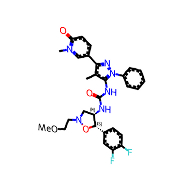 COCCN1C[C@@H](NC(=O)Nc2c(C)c(-c3ccc(=O)n(C)c3)nn2-c2ccccc2)[C@H](c2ccc(F)c(F)c2)O1